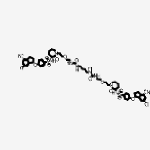 N#Cc1cc(Cl)cc2c1CC[C@H]2Oc1ccc(S(=O)(=O)NC2CCCCN(CCOCCNC(=O)NCCCCNC(=O)NCCOCCN3CCCCC(NS(=O)(=O)c4ccc(O[C@@H]5CCc6c(C#N)cc(Cl)cc65)cc4)C3=O)C2=O)cc1